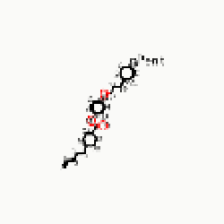 C=CCCCC1CCC(C(=O)Oc2ccc(OCCCC3CCC(CCCCC)CC3)cc2)CC1